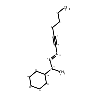 CCCCC#CN=NN(C)C1CCCCC1